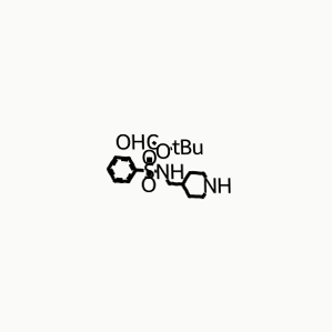 CC(C)(C)OC=O.O=S(=O)(NCC1CCNCC1)c1ccccc1